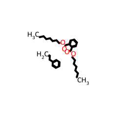 C=CCc1ccccc1.CCCCCCCCOC(=O)c1ccccc1C(=O)OCCCCCCCC